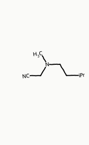 CC(C)CCN(C)CC#N